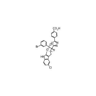 O=C(O)c1ccc(-c2nnc([C@](F)([C@H]3Cc4[nH]c5ccc(Cl)cc5c4C3)S(=O)(=O)c3cccc(Br)c3)o2)cc1